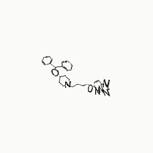 c1ccc(C(OC2CCN(CCCCOc3ccc4ncnn4n3)CC2)c2ccccc2)cc1